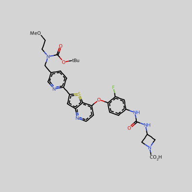 COCCN(Cc1ccc(-c2cc3nccc(Oc4ccc(NC(=O)NC5CN(C(=O)O)C5)cc4F)c3s2)nc1)C(=O)OC(C)(C)C